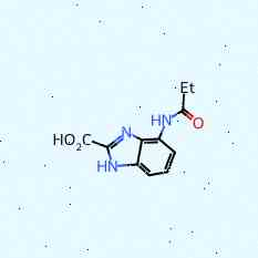 CCC(=O)Nc1cccc2[nH]c(C(=O)O)nc12